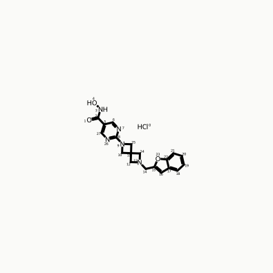 Cl.O=C(NO)c1cnc(N2CC3(CN(Cc4cc5ccccc5o4)C3)C2)nc1